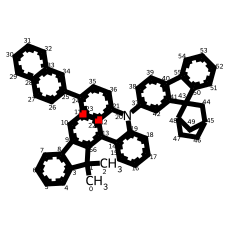 CC1(C)c2ccccc2-c2cccc(-c3ccccc3N(c3ccc(-c4ccc5ccccc5c4)cc3)c3ccc4c(c3)C3(CC5CCC3C5)c3ccccc3-4)c21